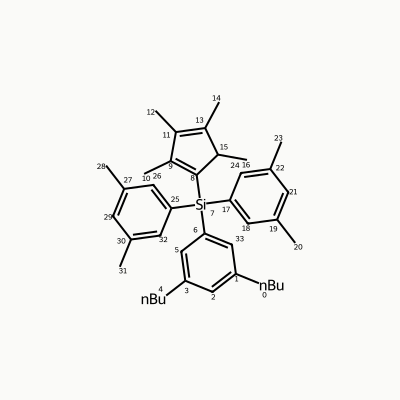 CCCCc1cc(CCCC)cc([Si](C2=C(C)C(C)=C(C)C2C)(c2cc(C)cc(C)c2)c2cc(C)cc(C)c2)c1